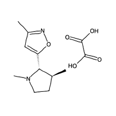 Cc1cc([C@@H]2[C@@H](C)CCN2C)on1.O=C(O)C(=O)O